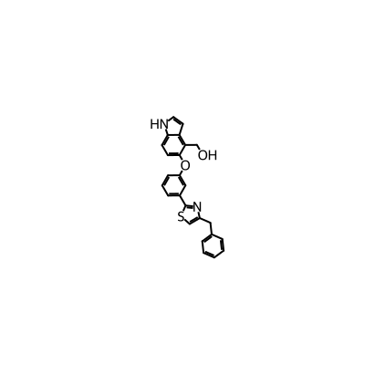 OCc1c(Oc2cccc(-c3nc(Cc4ccccc4)cs3)c2)ccc2[nH]ccc12